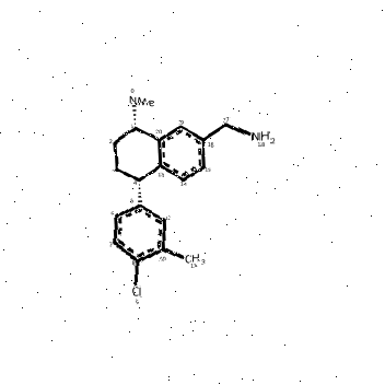 CN[C@H]1CC[C@@H](c2ccc(Cl)c(C)c2)c2ccc(CN)cc21